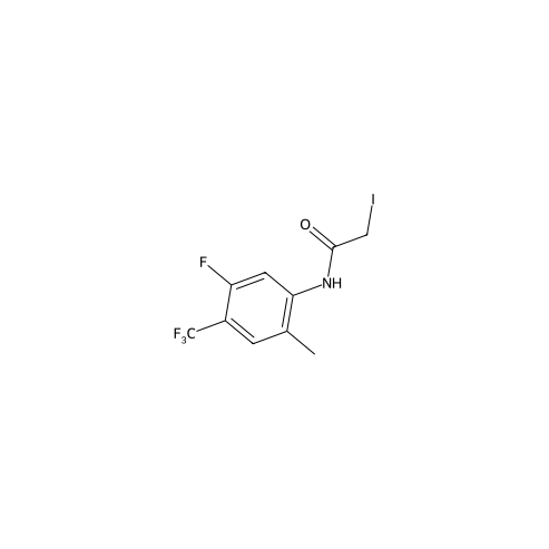 Cc1cc(C(F)(F)F)c(F)cc1NC(=O)CI